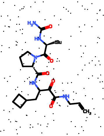 C=CCNC(=O)C(=O)C(CC1CCC1)NC(=O)[C@@H]1CCCN1C(=O)[C@@H](NC(N)=O)C(C)(C)C